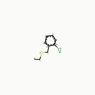 CCSCc1ccccc1Cl